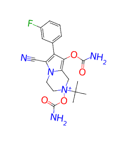 CC(C)(C)[N+]1(OC(N)=O)CCn2c(C#N)c(-c3cccc(F)c3)c(OC(N)=O)c2C1